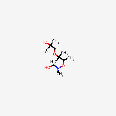 CC(ON(C)CO)C(C)(C)OCC(C)(C)O